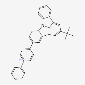 C=C(/C=C\C(=C/C)c1ccccc1)c1ccc2c(c1)c1cc(C(C)(C)C)cc3c4ccccc4n2c31